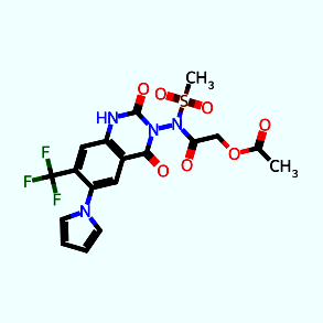 CC(=O)OCC(=O)N(n1c(=O)[nH]c2cc(C(F)(F)F)c(-n3cccc3)cc2c1=O)S(C)(=O)=O